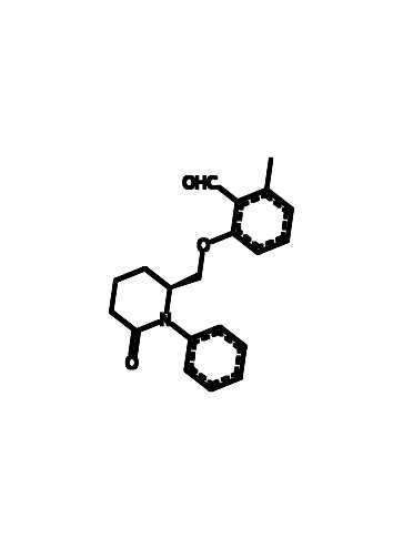 Cc1cccc(OC[C@@H]2CCCC(=O)N2c2ccccc2)c1C=O